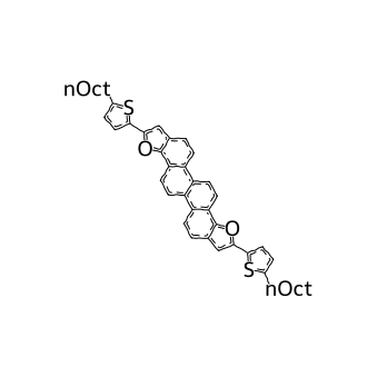 CCCCCCCCc1ccc(-c2cc3ccc4c5ccc6c(ccc7cc(-c8ccc(CCCCCCCC)s8)oc76)c5ccc4c3o2)s1